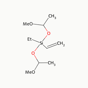 C=C[Si](CC)(OC(C)OC)OC(C)OC